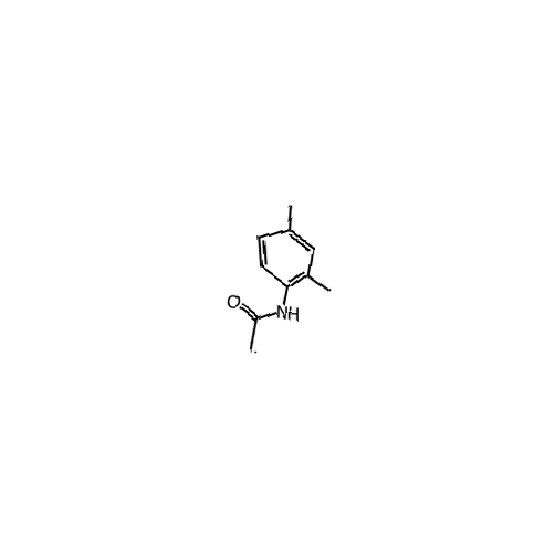 [CH2]C(=O)Nc1ccc(C)cc1C